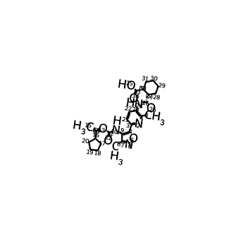 Cc1nc(-c2onc(C)c2NC(=O)O[C@H](C)C2CCCC2)ccc1NC(=O)[C@H]1CCCC[C@@H]1C(=O)O